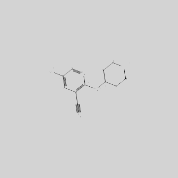 N#Cc1cc(Br)cnc1NC1CCOCC1